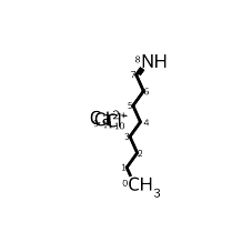 CCCCCCCC=N.[Ca+2].[Cl-].[Cl-]